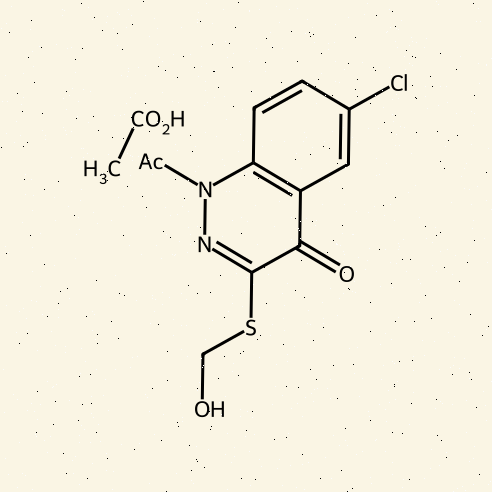 CC(=O)O.CC(=O)n1nc(SCO)c(=O)c2cc(Cl)ccc21